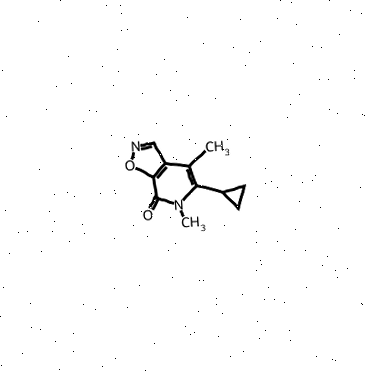 Cc1c(C2CC2)n(C)c(=O)c2oncc12